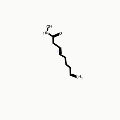 C=CCCC/C=C/CC(=O)NO